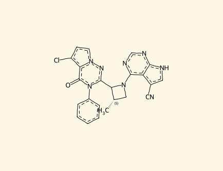 C[C@H]1CN(c2ncnc3[nH]cc(C#N)c23)C1c1nn2ccc(Cl)c2c(=O)n1-c1ccccc1